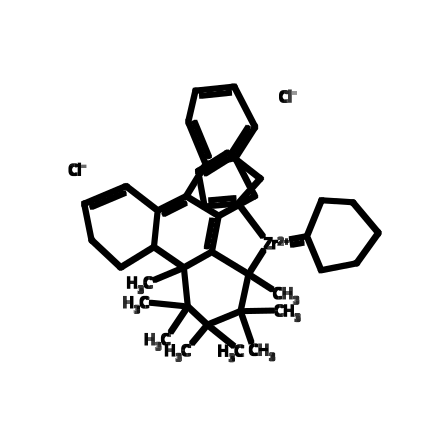 CC12C(=C3Cc4ccccc4C3=C3C=CCCC31)[C](C)([Zr+2]([C]1=CC=CC1)=[C]1CCCCC1)C(C)(C)C(C)(C)C2(C)C.[Cl-].[Cl-]